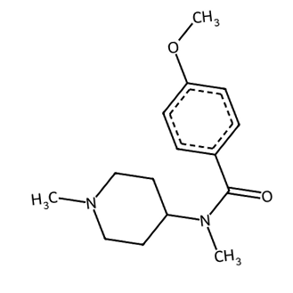 COc1ccc(C(=O)N(C)C2CCN(C)CC2)cc1